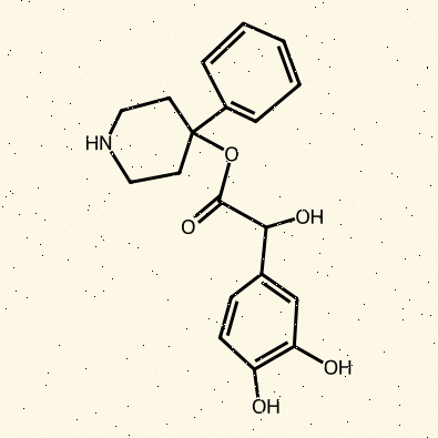 O=C(OC1(c2ccccc2)CCNCC1)C(O)c1ccc(O)c(O)c1